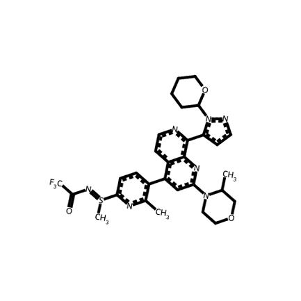 Cc1nc(/S(C)=N/C(=O)C(F)(F)F)ccc1-c1cc(N2CCOCC2C)nc2c(-c3ccnn3C3CCCCO3)nccc12